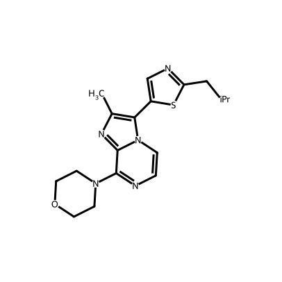 Cc1nc2c(N3CCOCC3)nccn2c1-c1cnc(CC(C)C)s1